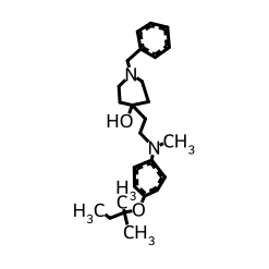 CCC(C)(C)Oc1ccc(N(C)CCC2(O)CCN(Cc3ccccc3)CC2)cc1